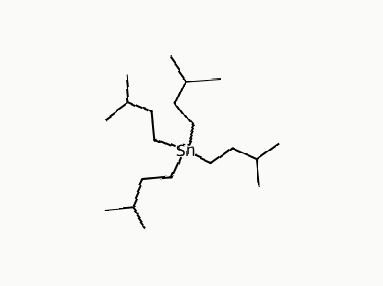 CC(C)C[CH2][Sn]([CH2]CC(C)C)([CH2]CC(C)C)[CH2]CC(C)C